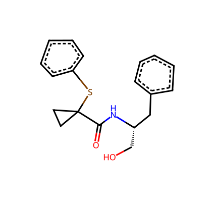 O=C(N[C@@H](CO)Cc1ccccc1)C1(Sc2ccccc2)CC1